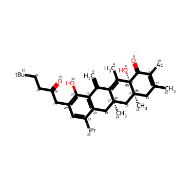 C=C1C2=C(C)[C@@]3(O)C(=O)C(C(C)=O)=C(C)C[C@@]3(C)C[C@@]2(C)Cc2c(C(C)C)cc(CC(=O)CCC(C)(C)C)c(O)c21